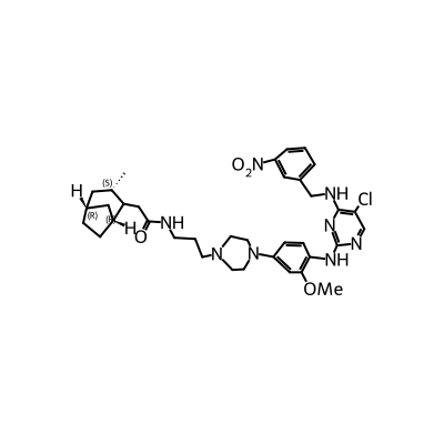 COc1cc(N2CCN(CCCNC(=O)CC3[C@@H]4CC[C@@H](C4)C[C@@H]3C)CC2)ccc1Nc1ncc(Cl)c(NCc2cccc([N+](=O)[O-])c2)n1